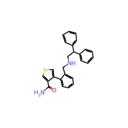 NC(=O)c1cscc1-c1ccccc1CNCC(c1ccccc1)c1ccccc1